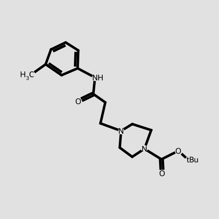 Cc1cccc(NC(=O)CCN2CCN(C(=O)OC(C)(C)C)CC2)c1